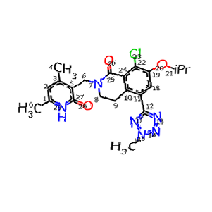 Cc1cc(C)c(CN2CCc3c(-c4nnn(C)n4)cc(OC(C)C)c(Cl)c3C2=O)c(=O)[nH]1